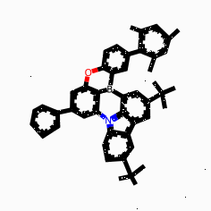 Cc1cc(C)c(-c2ccc3c(c2)B2c4c(cc(-c5ccccc5)cc4-n4c5ccc(C(C)(C)C)cc5c5cc(C(C)(C)C)cc2c54)O3)c(C)c1